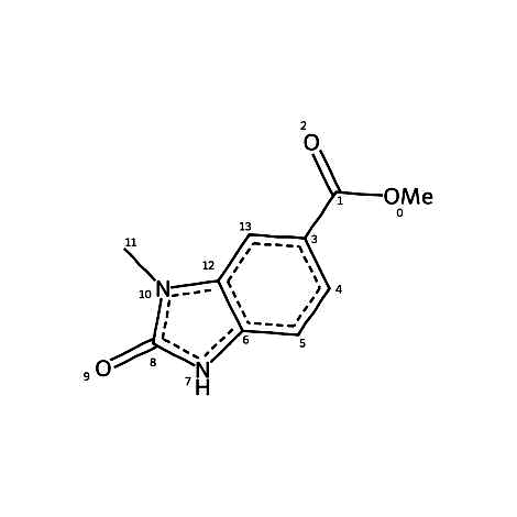 COC(=O)c1ccc2[nH]c(=O)n(C)c2c1